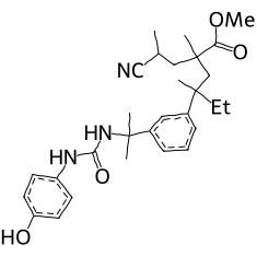 CCC(C)(CC(C)(CC(C)C#N)C(=O)OC)c1cccc(C(C)(C)NC(=O)Nc2ccc(O)cc2)c1